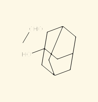 CC=O.OC12CC3CC(CC(C3)C1)C2